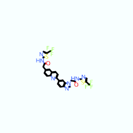 O=C(Cc1ccc2nc(-c3ccc4ncn(CC(=O)Nc5ncc(C(F)(F)F)s5)c4c3)ccc2c1)Nc1ncc(C(F)(F)F)s1